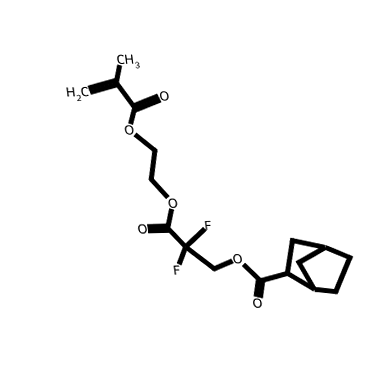 C=C(C)C(=O)OCCOC(=O)C(F)(F)COC(=O)C1CC2CCC1C2